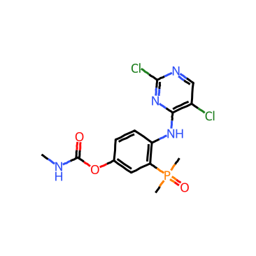 CNC(=O)Oc1ccc(Nc2nc(Cl)ncc2Cl)c(P(C)(C)=O)c1